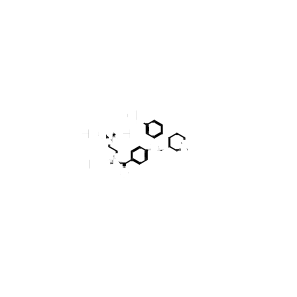 CN(C)CCN(C)C(=O)c1ccc(OC[C@@H]2CNCC[C@H]2c2ccc(F)cc2)cc1.Cl